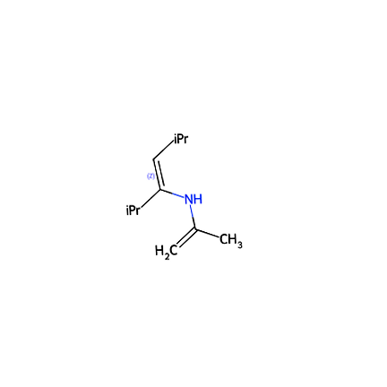 C=C(C)N/C(=C\C(C)C)C(C)C